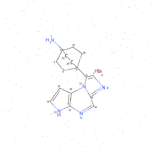 Br.NC12CCC(c3cnc4cnc5[nH]ccc5n34)(CC1)CC2